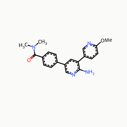 COc1ccc(-c2cc(-c3ccc(C(=O)N(C)C)cc3)cnc2N)cn1